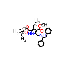 CCc1c(C(=O)OC(C)(C)C)[nH]c(CNC(Cc2ccccc2)c2ccccc2)c1C(=O)OC